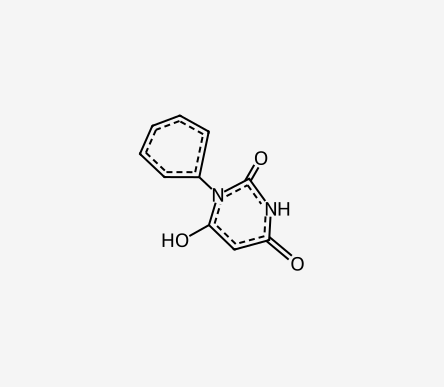 O=c1cc(O)n(-c2ccccc2)c(=O)[nH]1